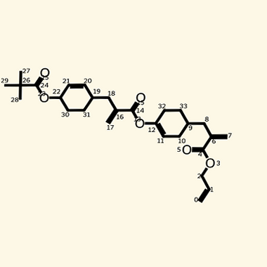 C=CCOC(=O)C(=C)CC1CC=C(OC(=O)C(=C)CC2C=CC(OC(=O)C(C)(C)C)CC2)CC1